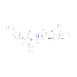 Cc1cnc(N2C(=O)c3c(Cl)ccc(NS(=O)(=O)c4ccc(C(C)(C)C)cc4)c3C2=O)s1